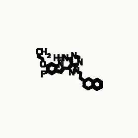 C=CCOc1cc2[nH]c(-c3nn(CCC4CCc5ccccc5C4)c4ncnc(N)c34)cc2cc1F